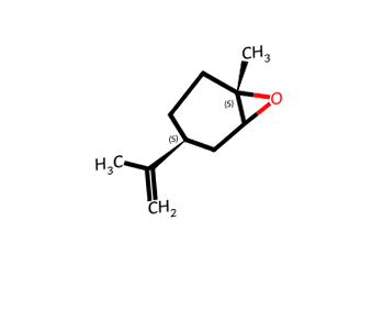 C=C(C)[C@H]1CC[C@]2(C)OC2C1